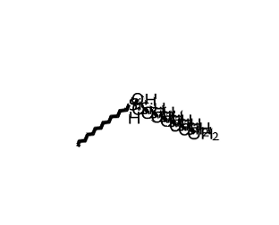 CCCCCCCCCCCCCC[SiH](O)O[SiH2]O[SiH2]O[SiH2]O[SiH2]O[SiH2]O[SiH2]O